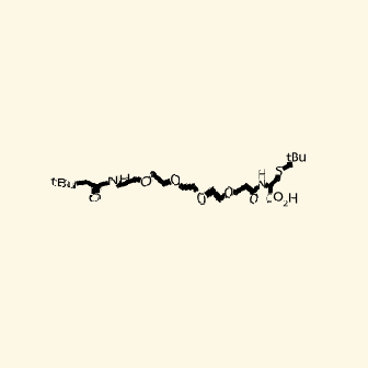 CC(C)(C)CSCC(NC(=O)CCOCCOCCOCCOCCNC(=O)CC(C)(C)C)C(=O)O